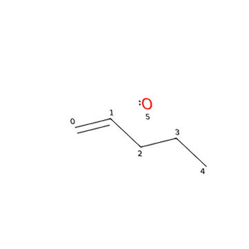 C=CCCC.[O]